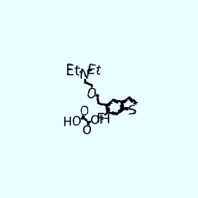 CCN(CC)CCOCCc1cc2ccsc2cc1F.O=C(O)C(=O)O